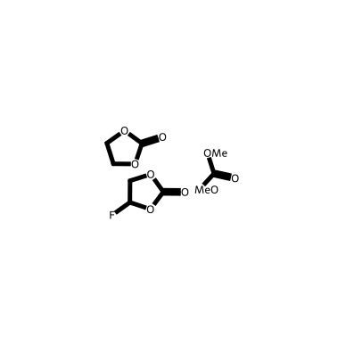 COC(=O)OC.O=C1OCC(F)O1.O=C1OCCO1